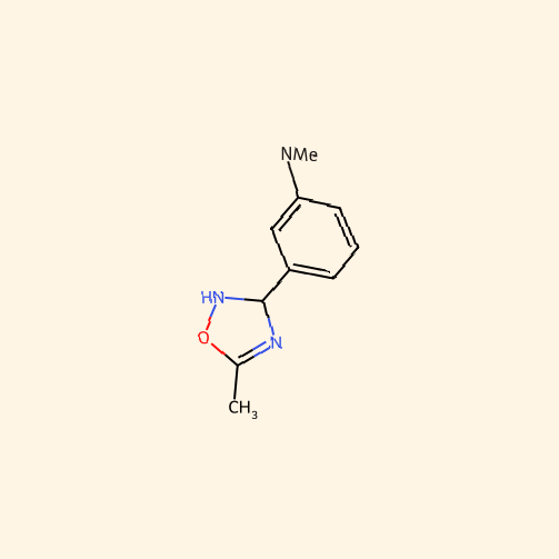 CNc1cccc(C2N=C(C)ON2)c1